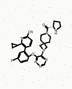 N#Cc1ccc(-c2cc(F)ccc2Oc2nncnc2N2CC3(CCN(C(=O)[C@@H]4CCCN4)CC3)C2)c(C2CC2)n1